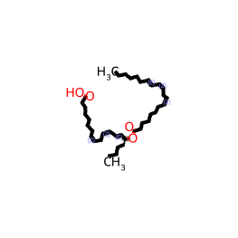 CCCCCC/C=C/C=C\C/C=C\CCCCCCC(=O)O[C@H](/C=C/C=C\C/C=C\CCCCCCC(=O)O)CCCCC